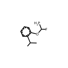 CC(C)c1ccccc1OC(F)P